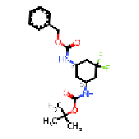 CC(C)(C)OC(=O)N[C@H]1C[C@@H](NC(=O)OCc2ccccc2)CC(F)(F)C1